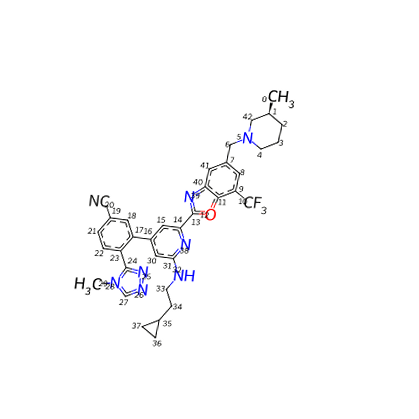 C[C@H]1CCCN(Cc2cc(C(F)(F)F)c3oc(-c4cc(-c5cc(C#N)ccc5-c5nncn5C)cc(NCCC5CC5)n4)nc3c2)C1